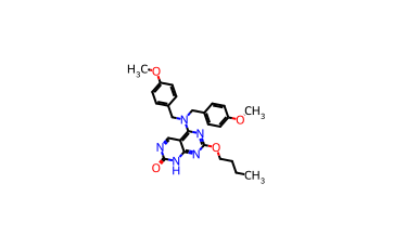 CCCCOc1nc(N(Cc2ccc(OC)cc2)Cc2ccc(OC)cc2)c2cnc(=O)[nH]c2n1